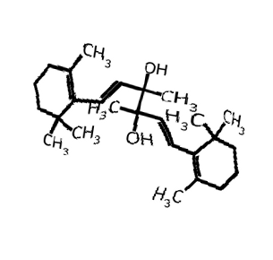 CC1=C(/C=C/C(C)(O)C(C)(O)/C=C/C2=C(C)CCCC2(C)C)C(C)(C)CCC1